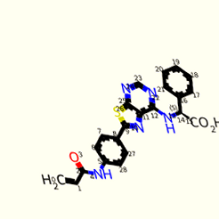 C=CC(=O)Nc1ccc(-c2nc3c(N[C@H](C(=O)O)c4ccccc4)ncnc3s2)cc1